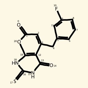 O=c1cc(Cc2cccc(F)c2)c2c(=O)[nH]c(=S)[nH]c2o1